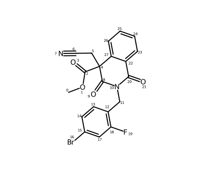 COC(=O)C1(CC#N)C(=O)N(Cc2ccc(Br)cc2F)C(=O)c2ccccc21